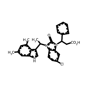 Cc1cc(C)c2c(C(C)n3c(=O)n(C(CC(=O)O)c4ccccc4)c4cc(Cl)ccc43)c[nH]c2c1